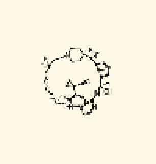 C[C@H]1Nc2ncnc3c2cc(C2(C#N)CC2)c(=O)n3CCCCCCC(F)(F)CN2CCC(CC2)C(F)(F)c2cccc1c2F